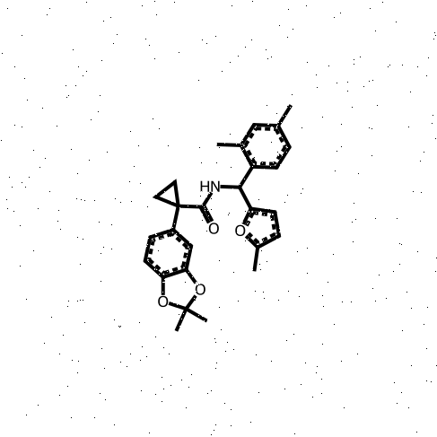 Cc1ccc(C(NC(=O)C2(c3ccc4c(c3)OC(C)(C)O4)CC2)c2ccc(C)o2)c(C)c1